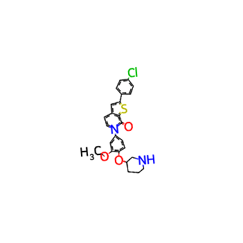 COc1cc(-n2ccc3cc(-c4ccc(Cl)cc4)sc3c2=O)ccc1O[C@@H]1CCCNC1